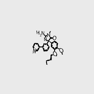 CCCCOc1cc(C2(c3cccc(-c4cccnc4)c3)N=C(N)N(C)C2=O)ccc1OC